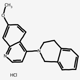 COc1ccc2c(N3CCc4ccccc4C3)ccnc2c1.Cl